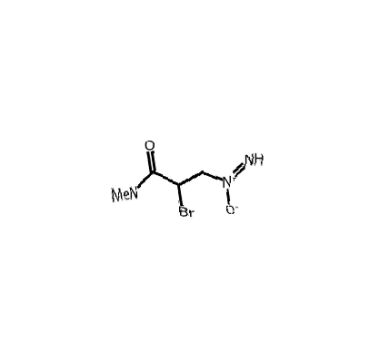 CNC(=O)C(Br)C[N+](=N)[O-]